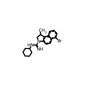 CC1CN(C(=N)NC2CCCCC2)c2ccc3c(Br)cccc3c21